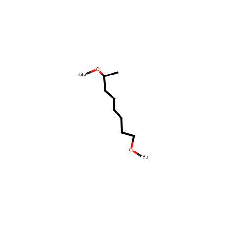 CCCCOC(C)C[CH]CCCCOC(C)CC